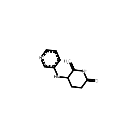 C=C1NC(=O)CCC1Nc1cccnc1